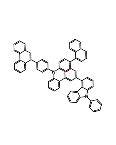 c1ccc(-n2c3ccccc3c3c(-c4cccc(-c5ccccc5N(c5ccc(-c6cccc7ccccc67)cc5)c5ccc(-c6cc7ccccc7c7ccccc67)cc5)c4)cccc32)cc1